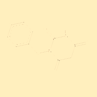 O=C1CC(=O)N(Sc2ccccc2)C(=O)N1